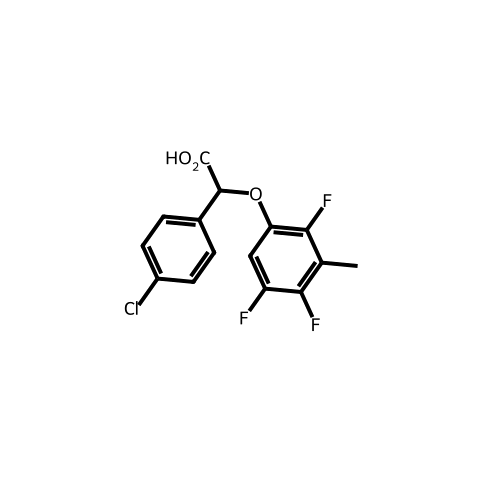 Cc1c(F)c(F)cc(OC(C(=O)O)c2ccc(Cl)cc2)c1F